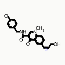 Cn1cc(C(=O)NCc2ccc(Cl)cc2)c(=O)c2cc(/C=C\CO)ccc21